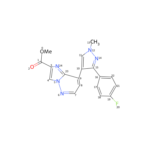 COC(=O)c1cn2nccc(-c3cn(C)nc3-c3ccc(F)cc3)c2n1